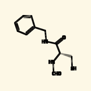 O=CN[C@@H](CS)C(=O)NCc1ccccc1